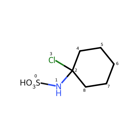 O=S(=O)(O)NC1(Cl)CCCCC1